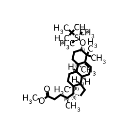 COC(=O)CC[C@@H](C)[C@H]1CC[C@H]2[C@@H]3CC=C4C(C)(C)[C@@H](O[Si](C)(C)C(C)(C)C)CC[C@]4(C)[C@H]3CC[C@]12C